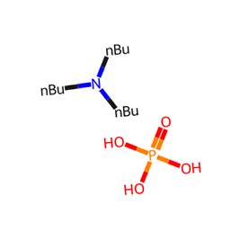 CCCCN(CCCC)CCCC.O=P(O)(O)O